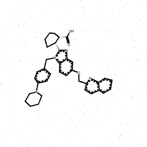 O=C(O)[C@H]1CCCC[C@H]1c1nc2cc(OCc3ccc4ccccc4n3)ccc2n1Cc1ccc(N2CCCCC2)cc1